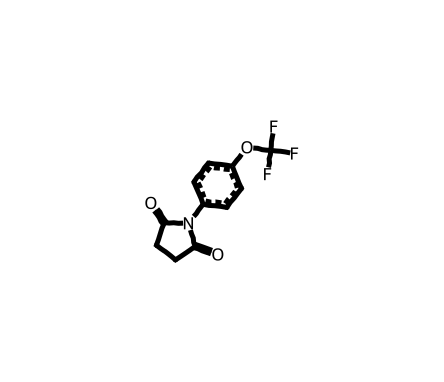 O=C1CCC(=O)N1c1ccc(OC(F)(F)F)cc1